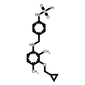 Cc1ccc(NCc2ccc(NS(=O)(=O)C(C)C)cc2)c(C)c1OCC1CC1